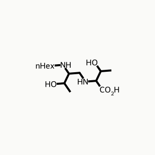 CCCCCCNC(CNC(C(=O)O)C(C)O)C(C)O